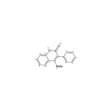 CNc1c(-c2ccccc2)c(=O)oc2ccccc12